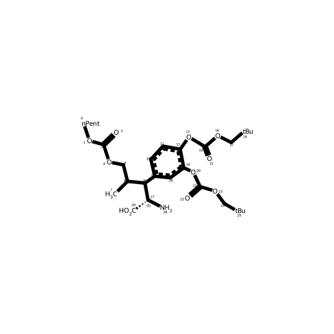 CCCCCOC(=O)OCC(C)C(c1ccc(OC(=O)OCC(C)(C)C)c(OC(=O)OCC(C)(C)C)c1)[C@H](N)C(=O)O